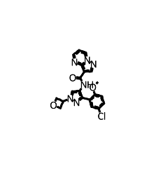 COc1ccc(Cl)cc1-c1nn(C2COC2)cc1NC(=O)c1cnn2cccnc12